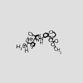 CCOC(=O)ON1CCCOc2ccc(Nc3ncc(Cl)c(Nc4ccsc4C(=O)NC)n3)cc21